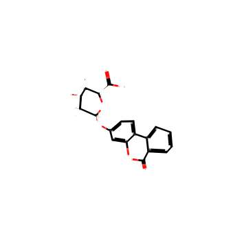 O=C(O)[C@H]1O[C@@H](Oc2ccc3c(c2)oc(=O)c2ccccc23)[C@H](O)[C@@H](O)[C@@H]1O